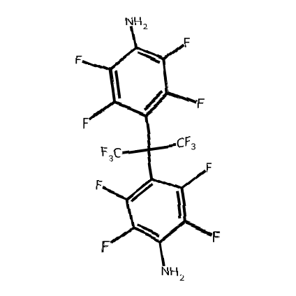 Nc1c(F)c(F)c(C(c2c(F)c(F)c(N)c(F)c2F)(C(F)(F)F)C(F)(F)F)c(F)c1F